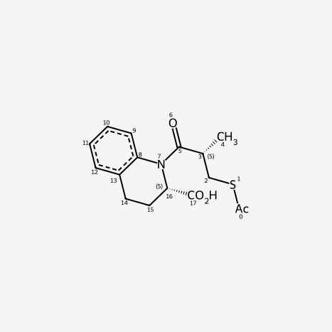 CC(=O)SC[C@@H](C)C(=O)N1c2ccccc2CC[C@H]1C(=O)O